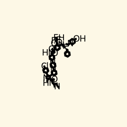 Cc1c(C(=O)NC2CN(C)C2)c(-c2cccc(N3CCN(c4ccc(NS(=O)(=O)c5ccc(N[C@H](CCN6CCC(O)CC6)CSc6ccccc6)c(S(=O)(=O)C(F)(F)F)c5)cc4)CC3)c2)c(-c2ccc(Cl)cc2)n1C